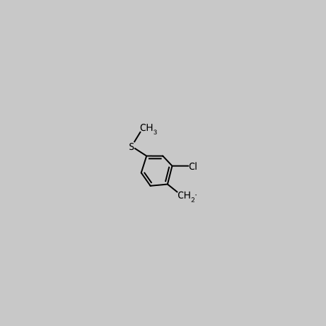 [CH2]c1ccc(SC)cc1Cl